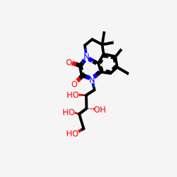 Cc1cc2c3c(c1C)C(C)(C)CCn3c(=O)c(=O)n2C[C@H](O)[C@H](O)[C@H](O)CO